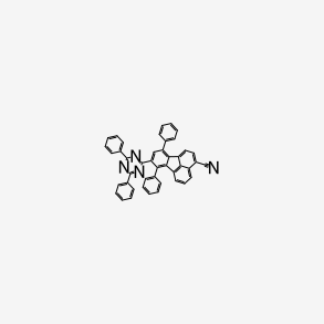 N#Cc1ccc2c3c(cccc13)-c1c(-c3ccccc3)c(-c3nc(-c4ccccc4)nc(-c4ccccc4)n3)cc(-c3ccccc3)c1-2